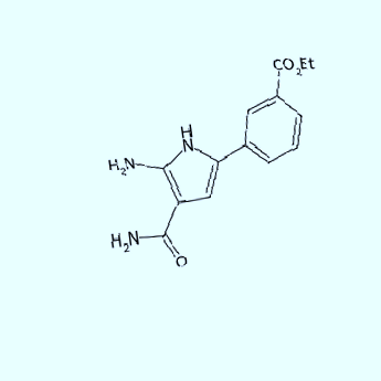 CCOC(=O)c1cccc(-c2cc(C(N)=O)c(N)[nH]2)c1